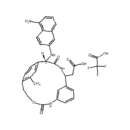 Cc1cc2ccc1CCOC(=O)Nc1cccc(c1)C(CC(=O)O)NC(=O)[C@H]2Nc1ccc2c(N)cccc2c1.O=C(O)C(F)(F)F